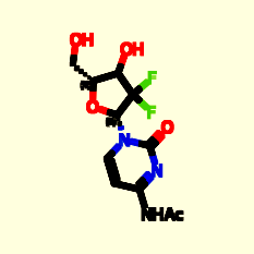 CC(=O)Nc1ccn([C@@H]2O[C@H](CO)C(O)C2(F)F)c(=O)n1